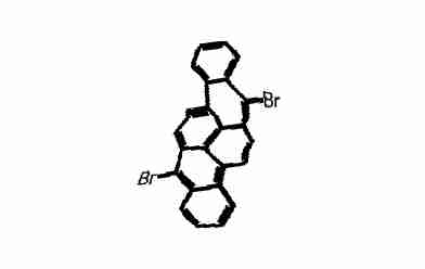 Brc1c2ccccc2c2ccc3c(Br)c4ccccc4c4ccc1c2c34